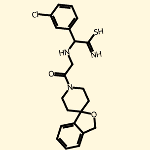 N=C(S)C(NCC(=O)N1CCC2(CC1)OCc1ccccc12)c1cccc(Cl)c1